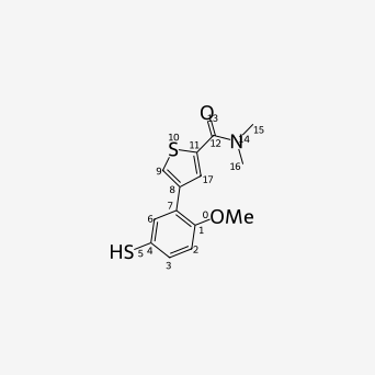 COc1ccc(S)cc1-c1csc(C(=O)N(C)C)c1